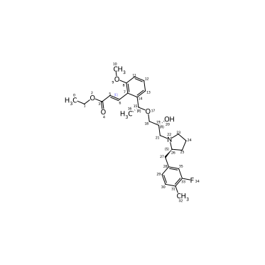 CCOC(=O)/C=C/c1c(OC)cccc1[C@@H](C)OC[C@H](O)CN1CCC[C@H]1Cc1ccc(C)c(F)c1